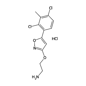 Cc1c(Cl)ccc(-c2cc(OCCN)no2)c1Cl.Cl